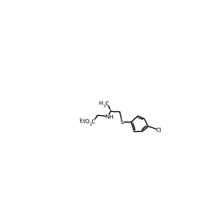 CCOC(=O)CN[C@@H](C)CSc1ccc(Cl)cc1